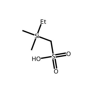 CC[Si](C)(C)CS(=O)(=O)O